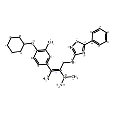 Cc1nc(/C(N)=C(\CNc2nsc(-c3ccccc3)n2)N(C)N)ccc1OC1CCCCC1